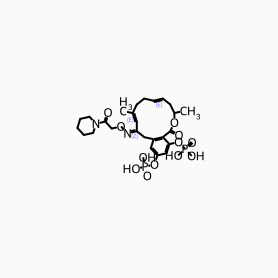 C/C1=C\C(=N/OCC(=O)N2CCCCC2)Cc2cc(OP(=O)(O)O)cc(OP(=O)(O)O)c2C(=O)OC(C)C/C=C/CC1